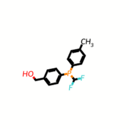 Cc1ccc(P(c2ccc(CO)cc2)C(F)F)cc1